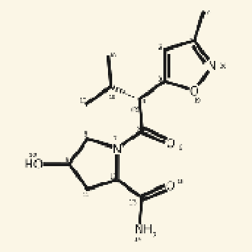 Cc1cc([C@H](C(=O)N2CC(O)CC2C(N)=O)C(C)C)on1